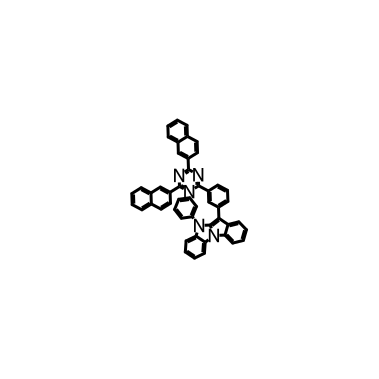 c1ccc(-n2c3ccccc3n3c4ccccc4c(-c4cccc(-c5nc(-c6ccc7ccccc7c6)nc(-c6ccc7ccccc7c6)n5)c4)c23)cc1